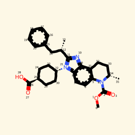 COC(=O)N1c2ccc3c(nc([C@@H](C)Cc4ccccc4)n3[C@H]3CC[C@H](C(=O)O)CC3)c2CC[C@@H]1C